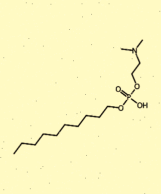 CCCCCCCCCCOP(=O)(O)OCCN(C)C